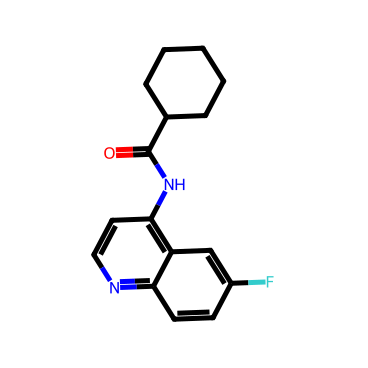 O=C(Nc1ccnc2ccc(F)cc12)C1CCCCC1